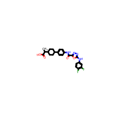 CC(C(=O)O)C1CCC(c2ccc(NC(=O)c3nnc(Nc4ccc(F)c(F)c4)o3)cc2)CC1